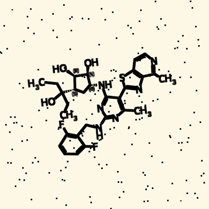 CCC(O)(CC)[C@H]1C[C@@H](Nc2nc(NCc3c(F)cccc3F)nc(C)c2-c2nc3c(C)nccc3s2)[C@H](O)[C@@H]1O